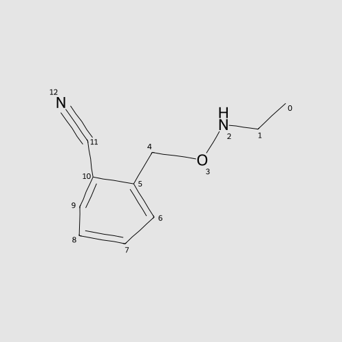 CCNOCc1ccccc1C#N